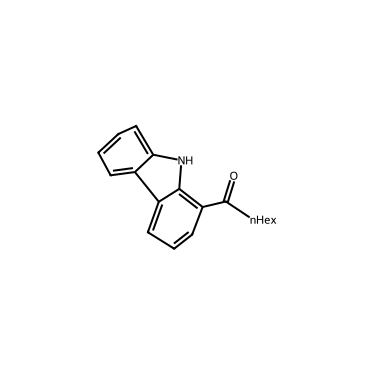 CCCCCCC(=O)c1cccc2c1[nH]c1ccccc12